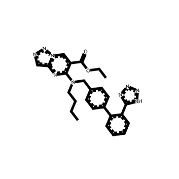 CCCCN(Cc1ccc(-c2ccccc2-c2nnn[nH]2)cc1)c1nc2cnnn2cc1C(=O)OCC